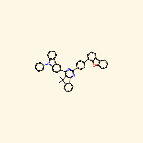 CC1(C)c2ccccc2-c2nc(-c3ccc(-c4cccc5c4oc4ccccc45)cc3)nc(-c3ccc4c(c3)c3ccccc3n4-c3ccccc3)c21